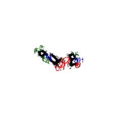 O=C1CCc2c(OC[C@]3(O)CCN(c4cc(Cl)c(F)cc4Cl)C[C@H]3O)ccc(F)c2N1